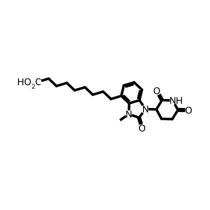 Cn1c(=O)n(C2CCC(=O)NC2=O)c2cccc(CCCCCCCCC(=O)O)c21